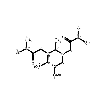 CCN(C)C(=O)CN(COOC)C(C)N(CC(=O)O)CC(=O)N(C)CC